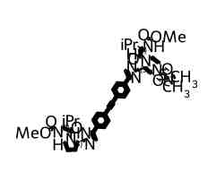 COC(=O)N[C@H](C(=O)N1CCN(S(=O)(=O)N(C)C)C[C@H]1c1nc(-c2ccc(C#Cc3ccc(-c4cnc([C@@H]5CCCN5C(=O)[C@@H](NC(=O)OC)C(C)C)[nH]4)cc3)cc2)c[nH]1)C(C)C